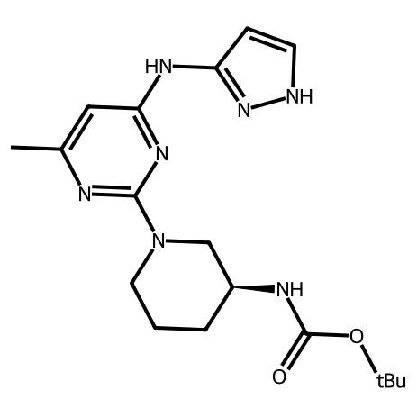 Cc1cc(Nc2cc[nH]n2)nc(N2CCC[C@H](NC(=O)OC(C)(C)C)C2)n1